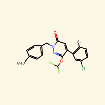 COc1ccc(Cn2nc(OC(F)F)c(-c3cc(Cl)ccc3C(C)=O)cc2=O)cc1